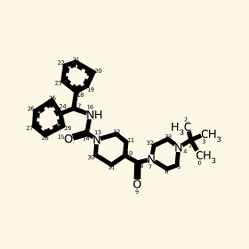 CC(C)(C)N1CCN(C(=O)C2CCN(C(=O)NC(c3ccccc3)c3ccccc3)CC2)CC1